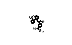 N=C(N)c1ccc2[nH]cc(Cc3ccccc3-c3ccccc3C(=O)O)c2c1